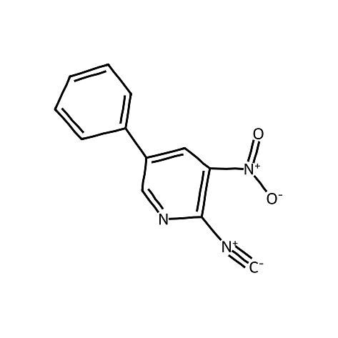 [C-]#[N+]c1ncc(-c2ccccc2)cc1[N+](=O)[O-]